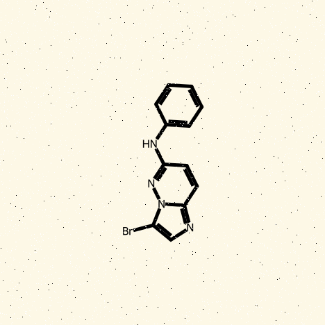 Brc1cnc2ccc(Nc3ccccc3)nn12